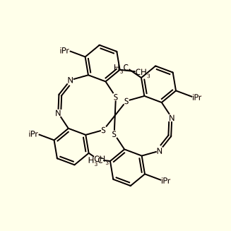 Cc1ccc(C(C)C)c2c1SC1(Sc3c(C)ccc(C(C)C)c3N=C=N2)Sc2c(C)ccc(C(C)C)c2N=C=Nc2c(C(C)C)ccc(C)c2S1